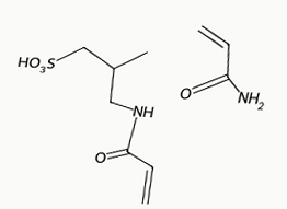 C=CC(=O)NCC(C)CS(=O)(=O)O.C=CC(N)=O